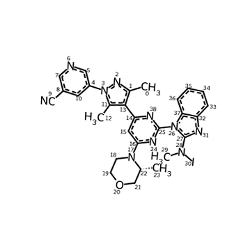 Cc1nn(-c2cncc(C#N)c2)c(C)c1-c1cc(N2CCOC[C@H]2C)nc(-n2c(N(C)I)nc3ccccc32)n1